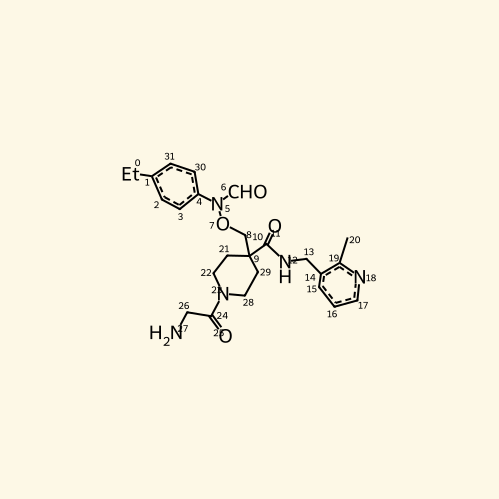 CCc1ccc(N(C=O)OCC2(C(=O)NCc3cccnc3C)CCN(C(=O)CN)CC2)cc1